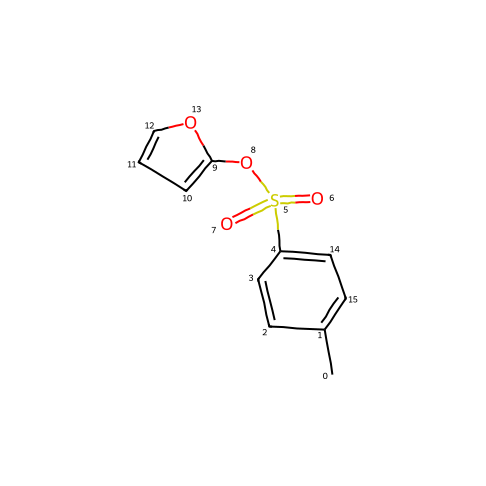 Cc1ccc(S(=O)(=O)Oc2ccco2)cc1